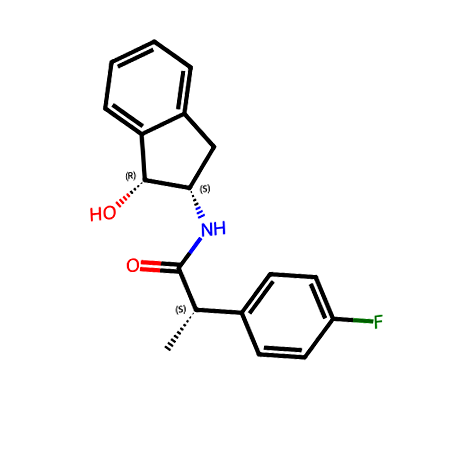 C[C@H](C(=O)N[C@H]1Cc2ccccc2[C@H]1O)c1ccc(F)cc1